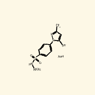 CCCc1cc(C(F)(F)F)nn1-c1ccc(S(=O)(=O)NNC(C)=O)cc1.[NaH]